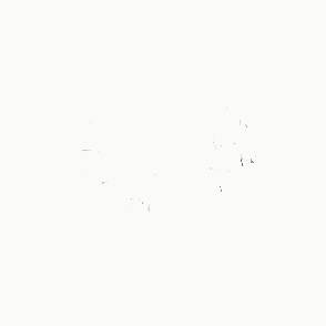 CCCCOc1ccc(S(=O)(=O)Nc2ccc(F)c(C(=O)c3c[nH]c4ncccc34)c2F)cc1